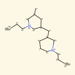 CC1CC(CC2CCCN(CCC(C)(C)C)C2)CN(CCC(C)(C)C)C1